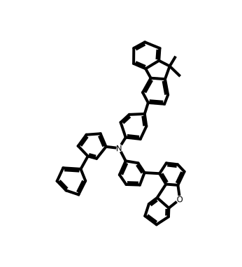 CC1(C)c2ccccc2-c2cc(-c3ccc(N(c4cccc(-c5ccccc5)c4)c4cccc(-c5cccc6oc7ccccc7c56)c4)cc3)ccc21